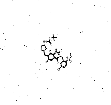 CCS(=O)(=O)c1ccc(Cl)cc1Cn1c(=O)[nH]c2c(Cl)c(CN3CC[C@H](NC(=O)OC(C)(C)C)C3)c(F)cc2c1=O